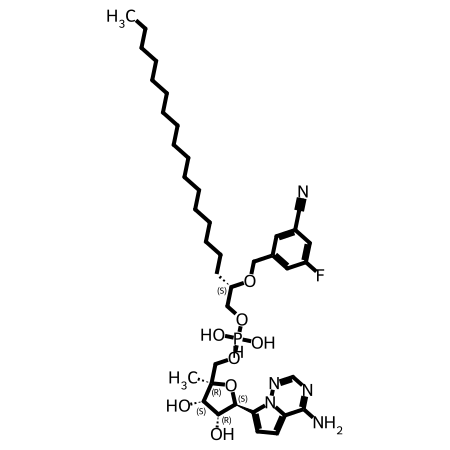 CCCCCCCCCCCCCCCCC[C@@H](CO[PH](O)(O)OC[C@@]1(C)O[C@@H](c2ccc3c(N)ncnn23)[C@H](O)[C@@H]1O)OCc1cc(F)cc(C#N)c1